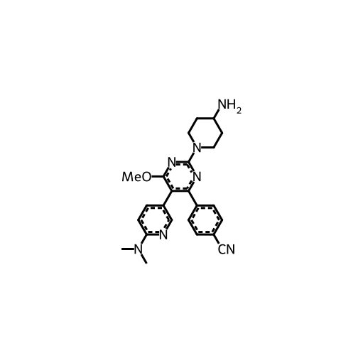 COc1nc(N2CCC(N)CC2)nc(-c2ccc(C#N)cc2)c1-c1ccc(N(C)C)nc1